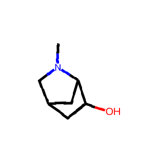 CN1CC2CC(O)C1C2